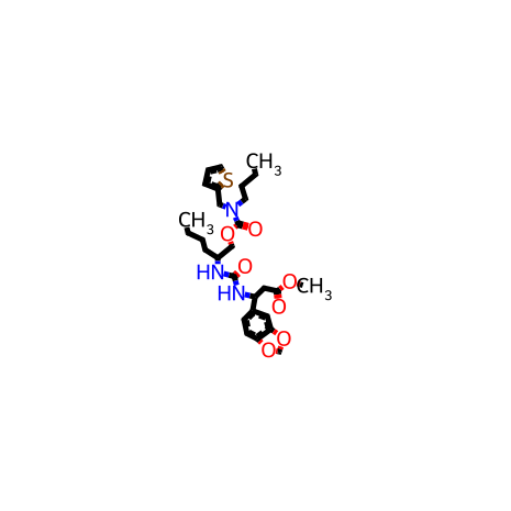 CCCCC(COC(=O)N(CCCC)Cc1cccs1)NC(=O)NC(CC(=O)OC)c1ccc2c(c1)OCO2